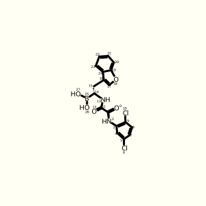 O=C(Nc1cc(Cl)ccc1Cl)C(=O)N[C@@H](Cc1coc2ccccc12)B(O)O